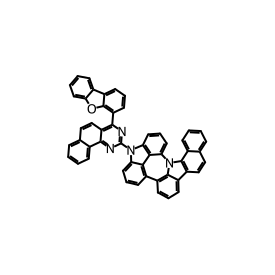 c1ccc2c(c1)ccc1c(-c3cccc4c3oc3ccccc34)nc(-n3c4cccc5c6cccc7c8ccc9ccccc9c8n(c8cccc3c8c54)c67)nc12